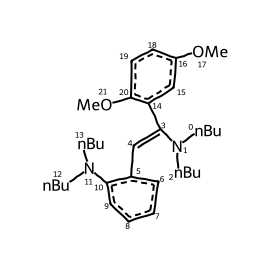 CCCCN(CCCC)C(=Cc1ccccc1N(CCCC)CCCC)c1cc(OC)ccc1OC